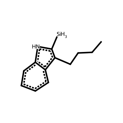 CCCCc1c([SiH3])[nH]c2ccccc12